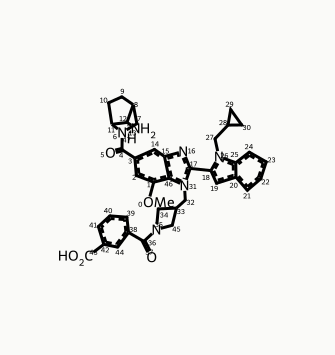 COc1cc(C(=O)N2CC3CCC2[C@@H]3N)cc2nc(-c3cc4ccccc4n3CC3CC3)n(CC3CN(C(=O)c4cccc(C(=O)O)c4)C3)c12